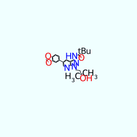 CC(C)(O)CCn1nc(NC(=O)C(C)(C)C)c2cc(-c3ccc4c(c3)OCO4)cnc21